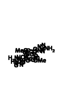 COP1(=O)OCC2OC(n3cnc4c(N)ncnc43)C(OP(=O)(OC)OCC3OC(n4cnc5c(=O)[nH]c(N)nc54)C(O)C3O1)C2O